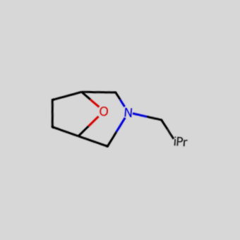 CC(C)CN1CC2CCC(C1)O2